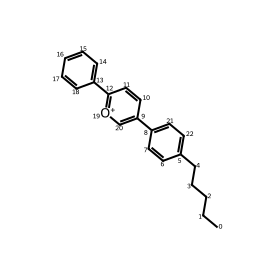 CCCCCc1ccc(-c2ccc(-c3ccccc3)[o+]c2)cc1